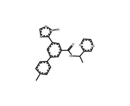 Cc1ccc(-c2cc(C(=O)NC(C)c3cnccn3)cc(-c3ncnn3C(C)C)c2)cc1